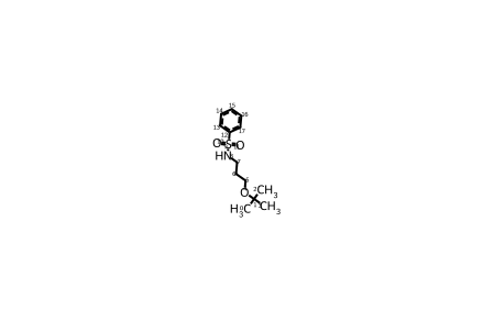 CC(C)(C)OCCCNS(=O)(=O)c1ccccc1